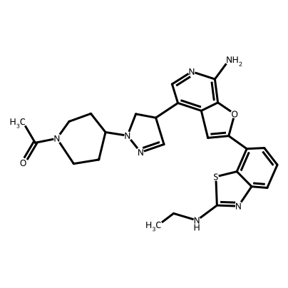 CCNc1nc2cccc(-c3cc4c(C5C=NN(C6CCN(C(C)=O)CC6)C5)cnc(N)c4o3)c2s1